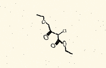 CCOCC(=O)C(Cl)C(=O)OCC